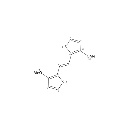 COc1ccsc1C=Cc1sccc1OC